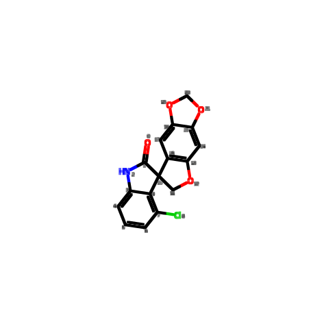 O=C1Nc2cccc(Cl)c2C12COc1cc3c(cc12)OCO3